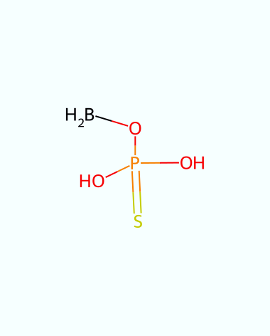 BOP(O)(O)=S